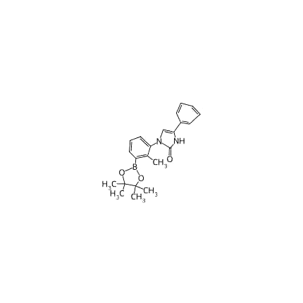 Cc1c(B2OC(C)(C)C(C)(C)O2)cccc1-n1cc(-c2ccccc2)[nH]c1=O